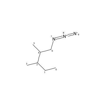 CCC(C)C(C)CN=[N+]=[N-]